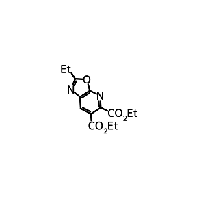 CCOC(=O)c1cc2nc(CC)oc2nc1C(=O)OCC